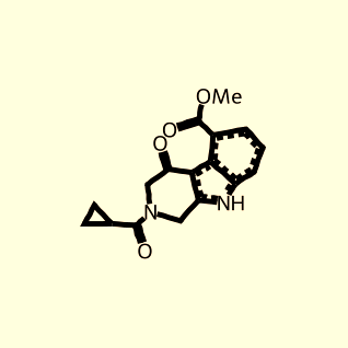 COC(=O)c1cccc2[nH]c3c(c12)C(=O)CN(C(=O)C1CC1)C3